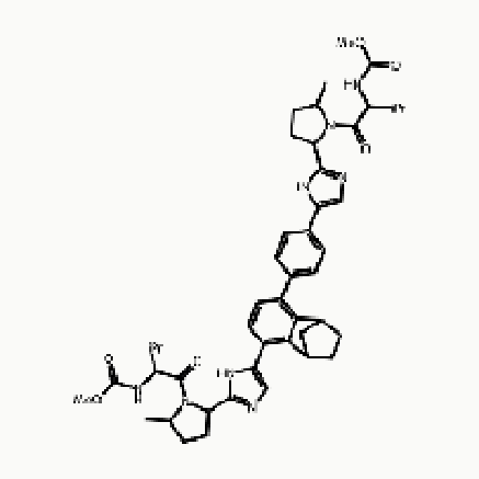 COC(=O)NC(C(=O)N1C(C)CCC1c1ncc(-c2ccc(-c3ccc(-c4cnc(C5CCC(C)N5C(=O)C(NC(=O)OC)C(C)C)[nH]4)c4c3C3CCC4C3)cc2)[nH]1)C(C)C